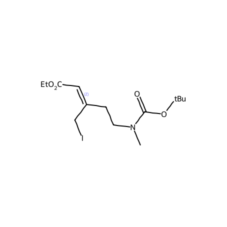 CCOC(=O)/C=C(\CI)CCN(C)C(=O)OC(C)(C)C